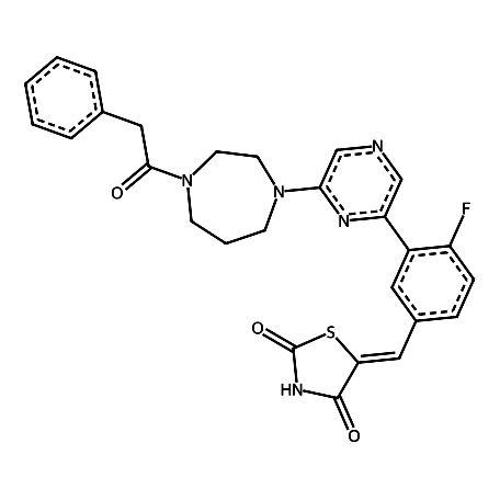 O=C1NC(=O)C(=Cc2ccc(F)c(-c3cncc(N4CCCN(C(=O)Cc5ccccc5)CC4)n3)c2)S1